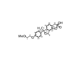 COCCOc1ccc(C(C)(C)c2ccc(CP(=O)(O)O)cc2)cc1